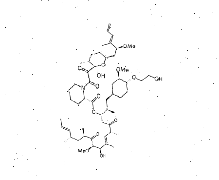 C=C/C=C(\C)[C@H](C[C@@H]1CC[C@@H](C)[C@](O)(C(=O)C(=O)N2CCCC[C@H]2C(=O)O[C@@H](CC(=O)[C@H](C)/C=C(\C)[C@@H](O)[C@@H](OC)C(=O)[C@H](C)C[C@H](C)/C=C/C)[C@H](C)C[C@@H]2CC[C@@H](OCCO)[C@H](OC)C2)O1)OC